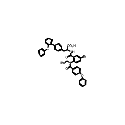 CCC(C)CN(C(=O)c1ccc(Oc2ccccc2)cc1)c1ccc(Br)cc1C(=O)N[C@@H](Cc1ccc(-c2ccccc2Oc2ccccc2)cc1)C(=O)O